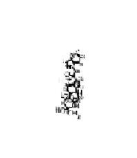 CC[C@]12CC[C@@](C)(O)C[C@@H]1CC[C@H]1[C@@H]3CC[C@H](C(=O)Cn4ncc5ncccc54)[C@@]3(C)CC[C@@H]12